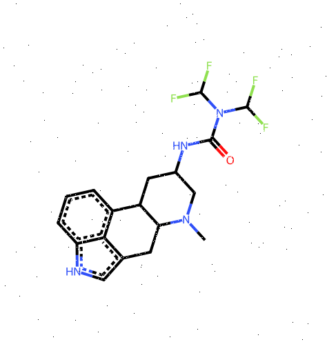 CN1CC(NC(=O)N(C(F)F)C(F)F)CC2c3cccc4[nH]cc(c34)CC21